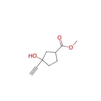 C#CC1(O)CCC(C(=O)OC)C1